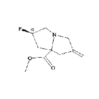 C=C1CN2C[C@H](F)CC2(C(=O)OC)C1